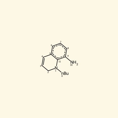 CCCCN1CC=Cc2cccc(N)c21